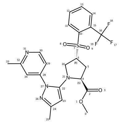 COC(=O)[C@@H]1C[C@@H](S(=O)(=O)c2ccccc2C(F)(F)F)CN1c1cc(C)nn1-c1ccnc(C)c1